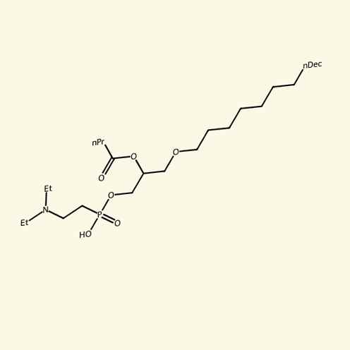 CCCCCCCCCCCCCCCCCOCC(COP(=O)(O)CCN(CC)CC)OC(=O)CCC